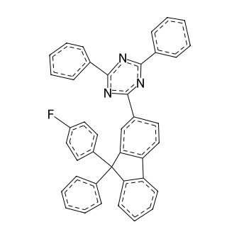 Fc1ccc(C2(c3ccccc3)c3ccccc3-c3ccc(-c4nc(-c5ccccc5)nc(-c5ccccc5)n4)cc32)cc1